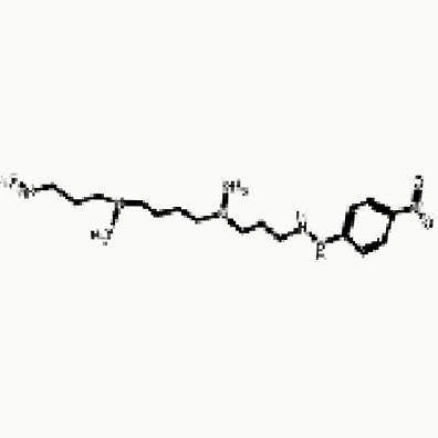 O=[N+]([O-])c1ccc(BNCCCN(P)CCCCN(P)CCCNP)cc1